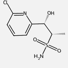 C[C@@H]([C@@H](O)c1cccc(Cl)n1)S(N)(=O)=O